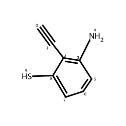 C#Cc1c(N)cccc1S